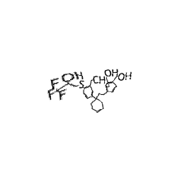 CCc1cc(C2(CCc3ccc(CO)c(CO)c3)CCCCC2)ccc1SCC(O)C(F)(F)F